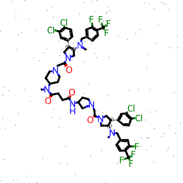 CN(C(=O)CCC(=O)NC1CCN(CC(=O)N2C[C@H](c3ccc(Cl)c(Cl)c3)[C@H](N(C)Cc3ccc(C(F)(F)F)c(F)c3)C2)C1)C1CCN(CC(=O)N2C[C@H](c3ccc(Cl)c(Cl)c3)[C@H](N(C)Cc3ccc(C(F)(F)F)c(F)c3)C2)CC1